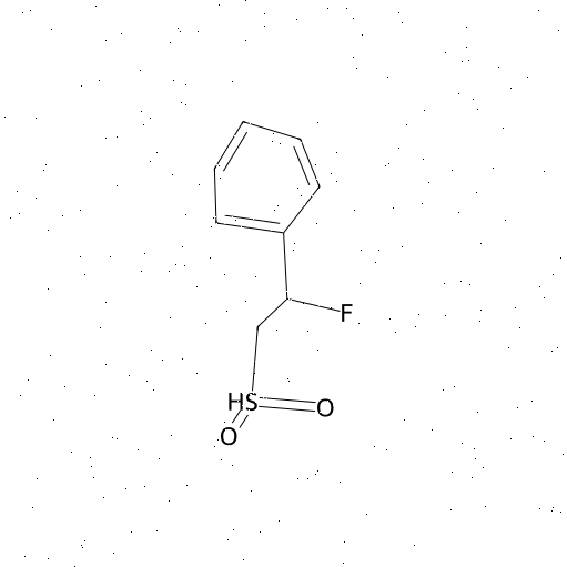 O=[SH](=O)CC(F)c1ccccc1